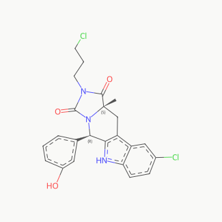 C[C@@]12Cc3c([nH]c4ccc(Cl)cc34)[C@@H](c3cccc(O)c3)N1C(=O)N(CCCCl)C2=O